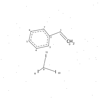 C=Cc1ccccc1.IC(I)I